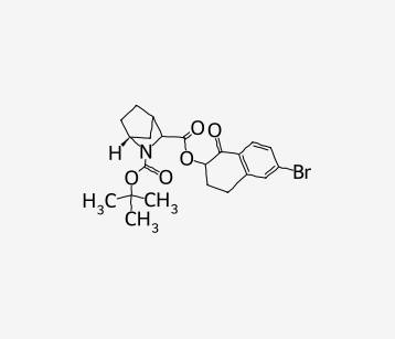 CC(C)(C)OC(=O)N1C(C(=O)OC2CCc3cc(Br)ccc3C2=O)C2CC[C@@H]1C2